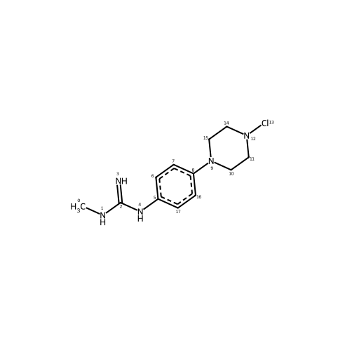 CNC(=N)Nc1ccc(N2CCN(Cl)CC2)cc1